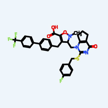 CN1OC(C(=O)O)=C(Cc2ccc(-c3ccc(C(F)(F)F)cc3)cc2)C1Cn1c(SCc2ccc(F)cc2)nc(=O)c2c1CCC2